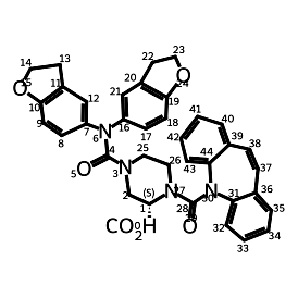 O=C(O)[C@@H]1CN(C(=O)N(c2ccc3c(c2)CCO3)c2ccc3c(c2)CCO3)CCN1C(=O)N1c2ccccc2C=Cc2ccccc21